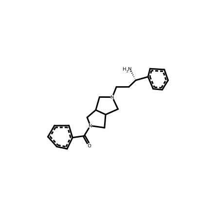 N[C@@H](CCN1CC2CN(C(=O)c3ccccc3)CC2C1)c1ccccc1